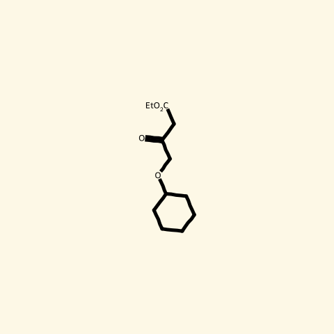 CCOC(=O)CC(=O)COC1CCCCC1